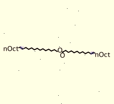 CCCCCCCC/C=C/CCCCCCCCCCCCOC(=O)CCCCCCCCC/C=C/CCCCCCCC